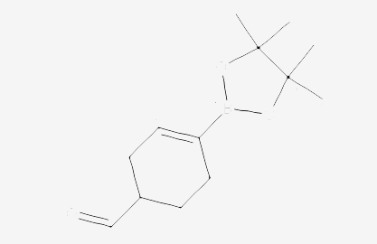 CC1(C)OB(C2=CCC(C=O)CC2)OC1(C)C